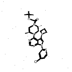 C[C@@H]1CN(c2ncnc3c2c(N2CCC2)cn3-c2cc(Cl)ccn2)[C@@H](C)CN1C(=O)OC(C)(C)C